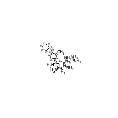 Cc1nc(/C(N)=C(\C/C(=N/N)N(N)CC(C)C)N(C)N)ccc1OC1CCCCC1